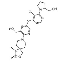 C[C@@H]1OCC2(CCN(c3ncc(Sc4ccnc(N5CCCC5CO)c4Cl)nc3CO)CC2)[C@@H]1C